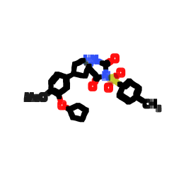 COc1ccc([C@H]2CC[C@]3(C2)NC(=O)N(S(=O)(=O)c2ccc(C)cc2)C3=O)cc1OC1CCCC1